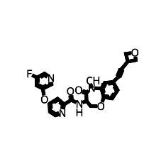 CN1C(=O)C(NC(=O)c2cc(Oc3cncc(F)c3)ccn2)COc2ccc(C#CC3COC3)cc21